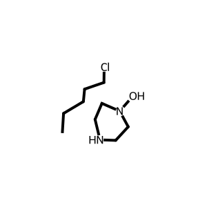 CCCCCCl.ON1CCNCC1